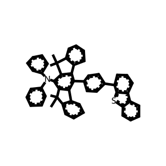 CC1(C)c2ccccc2-c2c(-c3ccc(-c4cccc5c4sc4ccccc45)cc3)c3c(c(N(c4ccccc4)c4ccccc4)c21)C(C)(C)c1ccccc1-3